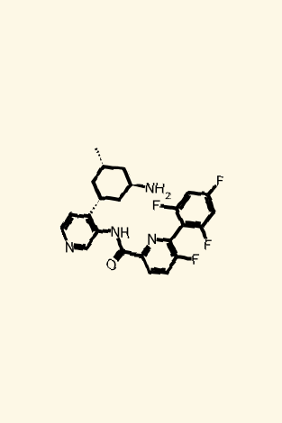 C[C@@H]1C[C@@H](N)C[C@H](c2ccncc2NC(=O)c2ccc(F)c(-c3c(F)cc(F)cc3F)n2)C1